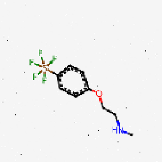 CNCCOc1ccc(S(F)(F)(F)(F)F)cc1